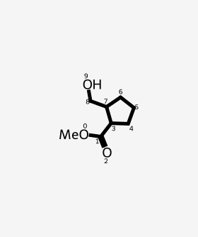 COC(=O)C1CCCC1CO